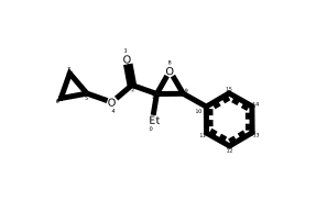 CCC1(C(=O)OC2CC2)OC1c1ccccc1